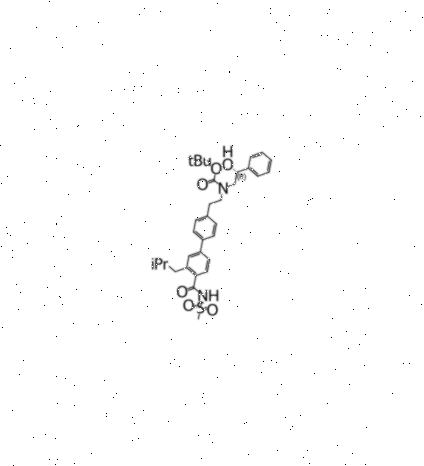 CC(C)Cc1cc(-c2ccc(CCN(C[C@H](O)c3ccccc3)C(=O)OC(C)(C)C)cc2)ccc1C(=O)NS(C)(=O)=O